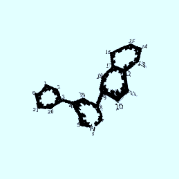 c1ccc(-c2cncc(-c3ccc4ccccc4c3)c2)cc1